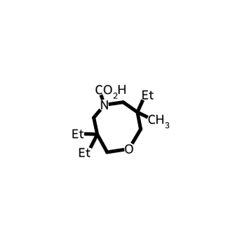 CCC1(C)COCC(CC)(CC)CN(C(=O)O)C1